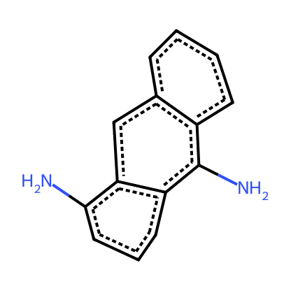 Nc1cccc2c(N)c3ccccc3cc12